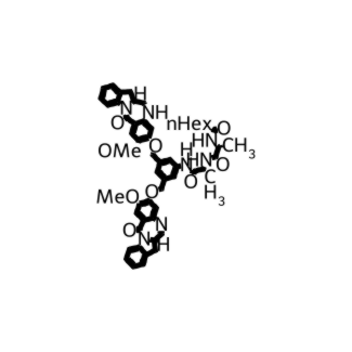 CCCCCCC(=O)N[C@@H](C)C(=O)N[C@@H](C)C(=O)Nc1cc(COc2cc3c(cc2OC)C(=O)N2c4ccccc4C[C@H]2C=N3)cc(COc2cc3c(cc2OC)C(=O)N2c4ccccc4C[C@H]2CN3)c1